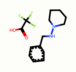 O=C(O)C(F)(F)F.c1ccc(CNN2CCCCC2)cc1